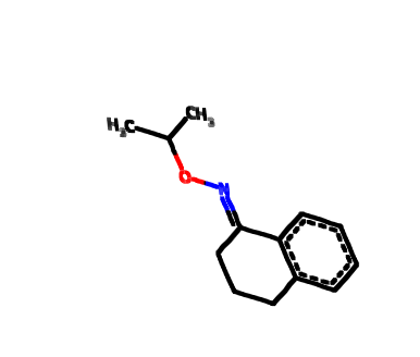 CC(C)O/N=C1\CCCc2ccccc21